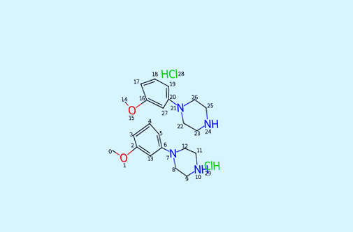 COc1cccc(N2CCNCC2)c1.COc1cccc(N2CCNCC2)c1.Cl.Cl